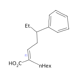 CCCCCC/C(=C\CC(CC)c1ccccc1)C(=O)O